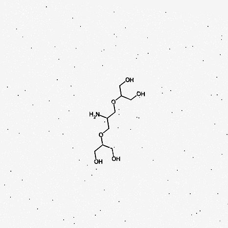 NC(COC(CO)CO)COC(CO)CO